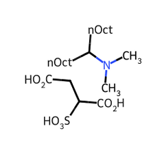 CCCCCCCCC(CCCCCCCC)N(C)C.O=C(O)CC(C(=O)O)S(=O)(=O)O